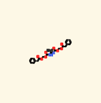 CS/C(=N\C(=O)OCOC(=O)Cc1ccccc1)NC(=O)OCOC(=O)Cc1ccccc1